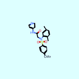 COc1ccc(S(=O)(=O)N(CC(=O)Nc2ccncc2)c2cc(C)ccc2C)cc1